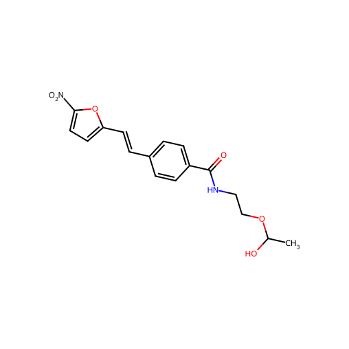 CC(O)OCCNC(=O)c1ccc(C=Cc2ccc([N+](=O)[O-])o2)cc1